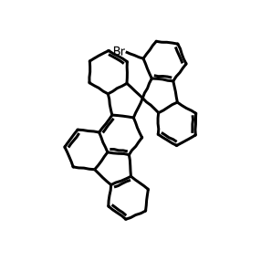 BrC1CC=CC2=C1C1(C3CC4=C5C(=C3C3CCC=CC31)C=CCC5C1=C4CCC=C1)C1C=CC=CC21